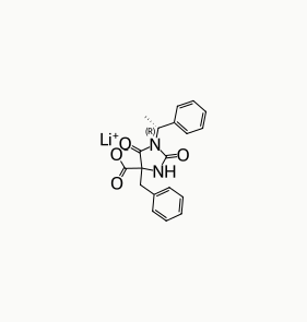 C[C@H](c1ccccc1)N1C(=O)NC(Cc2ccccc2)(C(=O)[O-])C1=O.[Li+]